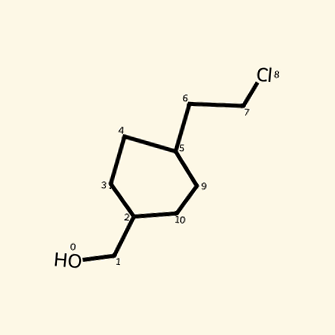 OCC1[CH]CC(CCCl)CC1